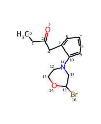 CCC(=O)Cc1ccccc1N1CCOC(Br)C1